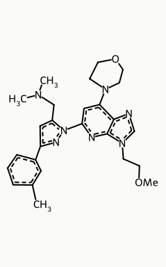 COCCn1cnc2c(N3CCOCC3)cc(-n3nc(-c4cccc(C)c4)cc3CN(C)C)nc21